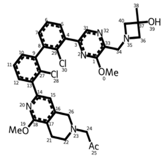 COc1nc(-c2cccc(-c3cccc(-c4cc5c(c(OC)n4)CCN(CC(C)=O)C5)c3Cl)c2Cl)cnc1CN1CC(C)(O)C1